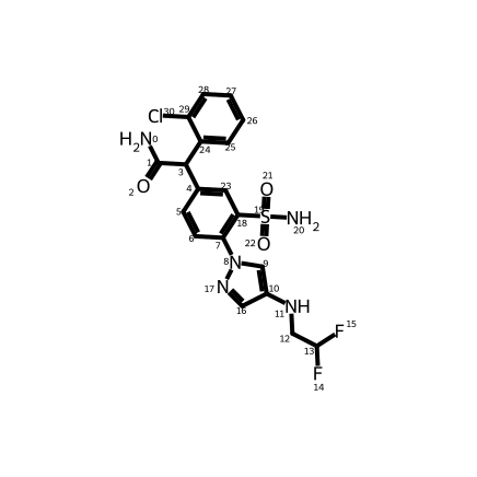 NC(=O)C(c1ccc(-n2cc(NCC(F)F)cn2)c(S(N)(=O)=O)c1)c1ccccc1Cl